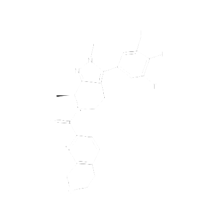 C[C@H]1c2nn(C)c(-c3cc(F)c(F)c(F)c3)c2CCN1C(=O)c1ccc2c(n1)COCC2